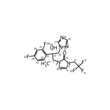 C[C@@H](n1ncn(CC(F)(F)F)c1=O)[C@](O)(Cn1cncn1)c1ccc(F)cc1F